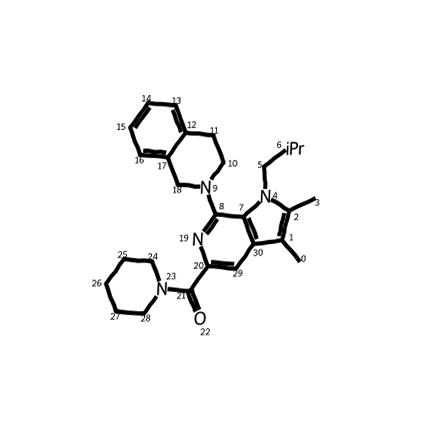 Cc1c(C)n(CC(C)C)c2c(N3CCc4ccccc4C3)nc(C(=O)N3CCCCC3)cc12